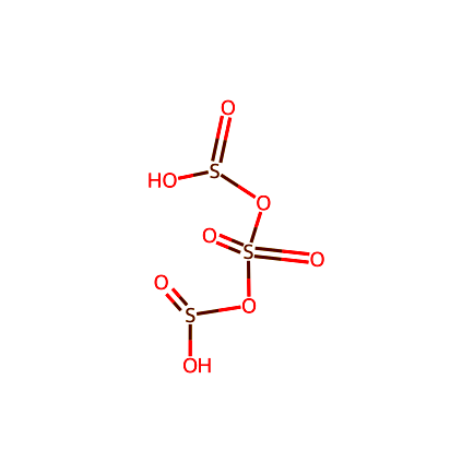 O=S(O)OS(=O)(=O)OS(=O)O